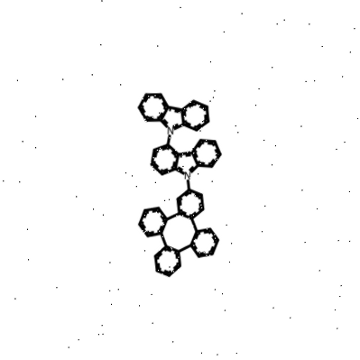 c1ccc2c(c1)-c1ccccc1-c1ccc(-n3c4ccccc4c4c(-n5c6ccccc6c6ccccc65)cccc43)cc1-c1ccccc1-2